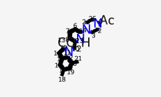 CC(=O)N1CCN(c2cccc(Cn3c(C(=O)O)cc4cc(C)cc(C)c43)n2)CC1